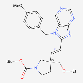 CCOC[C@]1(/C=C/c2nc3ncncc3n2Cc2ccc(OC)cc2)CCN(C(=O)OC(C)(C)C)C1